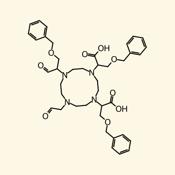 O=CCN1CCN(C(C=O)COCc2ccccc2)CCN(C(COCc2ccccc2)C(=O)O)CCN(C(COCc2ccccc2)C(=O)O)CC1